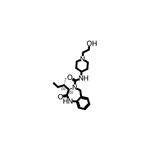 CC[C@H](C)[C@H]1C(=O)Nc2ccccc2CN1C(=O)NC1CCN(CCO)CC1